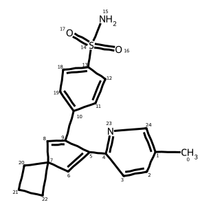 Cc1ccc(C2=CC3(C=C2c2ccc(S(N)(=O)=O)cc2)CCC3)nc1